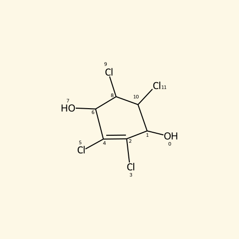 OC1C(Cl)=C(Cl)C(O)C(Cl)C1Cl